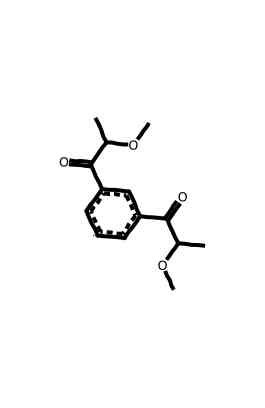 COC(C)C(=O)c1c[c]cc(C(=O)C(C)OC)c1